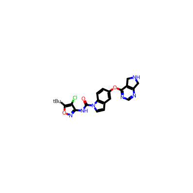 CC(C)(C)c1onc(NC(=O)n2ccc3cc(Oc4ncnc5c4CNC5)ccc32)c1Cl